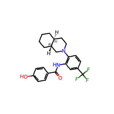 O=C(Nc1cc(C(F)(F)F)ccc1N1CC[C@@H]2CCCC[C@H]2C1)c1ccc(O)cc1